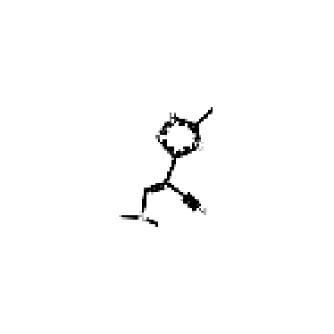 Cc1nnc(C(C#N)=CN(C)C)o1